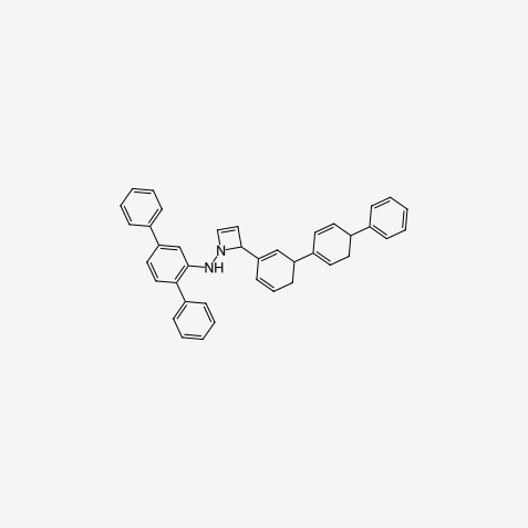 C1=CC(C2C=CN2Nc2cc(-c3ccccc3)ccc2-c2ccccc2)=CC(C2=CCC(c3ccccc3)C=C2)C1